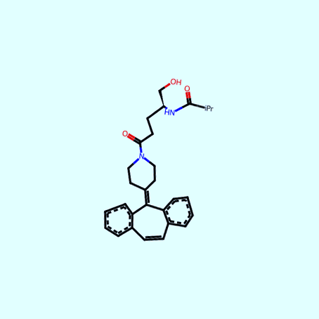 CC(C)C(=O)N[C@H](CO)CCC(=O)N1CCC(=C2c3ccccc3C=Cc3ccccc32)CC1